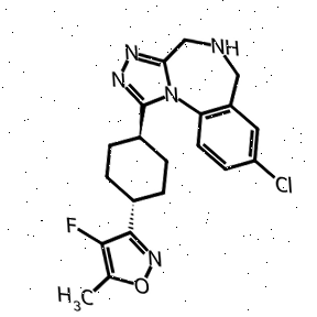 Cc1onc([C@H]2CC[C@H](c3nnc4n3-c3ccc(Cl)cc3CNC4)CC2)c1F